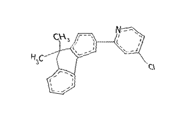 CC1(C)c2ccccc2-c2cc(-c3cc(Cl)ccn3)ccc21